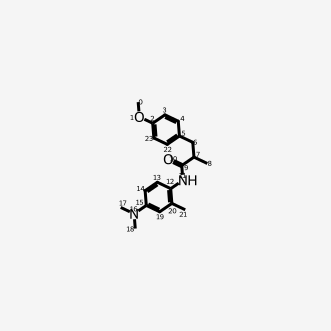 COc1ccc(CC(C)C(=O)Nc2ccc(N(C)C)cc2C)cc1